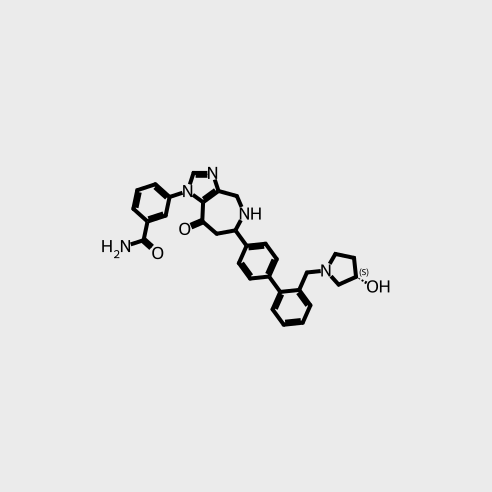 NC(=O)c1cccc(-n2cnc3c2C(=O)CC(c2ccc(-c4ccccc4CN4CC[C@H](O)C4)cc2)NC3)c1